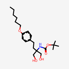 CCCCCCOc1ccc(CCC(CO)(CO)NC(=O)OC(C)(C)C)cc1